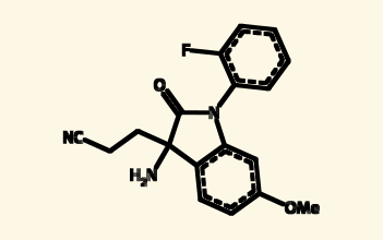 COc1ccc2c(c1)N(c1ccccc1F)C(=O)C2(N)CCC#N